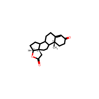 C[C@]12CCC(=O)C=C1CCC1C3CC[C@@H]4OC(=O)C[C@]34CCC12